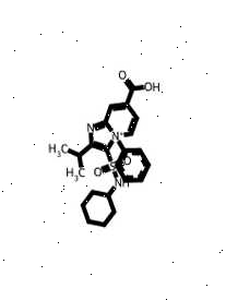 CC(C)C1=C(S(=O)(=O)NC2CCCCC2)[N+]2(c3ccccc3)C=CC(C(=O)O)=CC2=N1